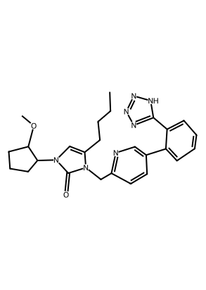 CCCCc1cn(C2CCCC2OC)c(=O)n1Cc1ccc(-c2ccccc2-c2nnn[nH]2)cn1